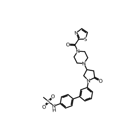 CS(=O)(=O)Nc1ccc(-c2cccc(N3CC(N4CCN(C(=O)c5nccs5)CC4)CC3=O)c2)cc1